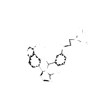 Cc1coc2ccc(C3=CC=NC(C)N3C(C)c3cccc(OCCN(C)C)c3)cc12